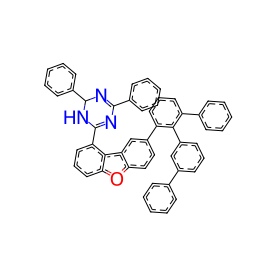 c1ccc(C2=NC(c3ccccc3)NC(c3cccc4oc5ccc(-c6cccc(-c7ccccc7)c6-c6cccc(-c7ccccc7)c6)cc5c34)=N2)cc1